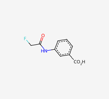 O=C(CF)Nc1cccc(C(=O)O)c1